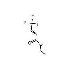 CCOC(=O)C=CC(F)(F)F